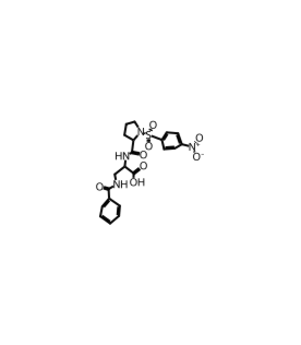 O=C(NCC(NC(=O)C1CCCN1S(=O)(=O)c1ccc([N+](=O)[O-])cc1)C(=O)O)c1ccccc1